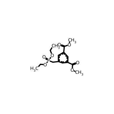 CCOP(=O)(Cc1cc(C(=O)OC)cc(C(=O)OC)c1)OCC